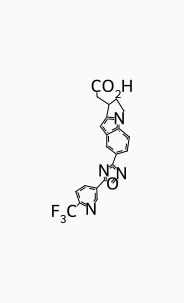 O=C(O)CC1CCn2c1cc1cc(-c3noc(-c4ccc(C(F)(F)F)nc4)n3)ccc12